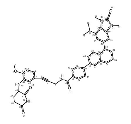 COc1ncc(C#CCNC(=O)c2ccc(-c3cc4cccc(-c5cc(C(C)C)c6c(c5)n(C)c(=O)n6C)c4cn3)cn2)cc1NC1CCC(=O)NC1=O